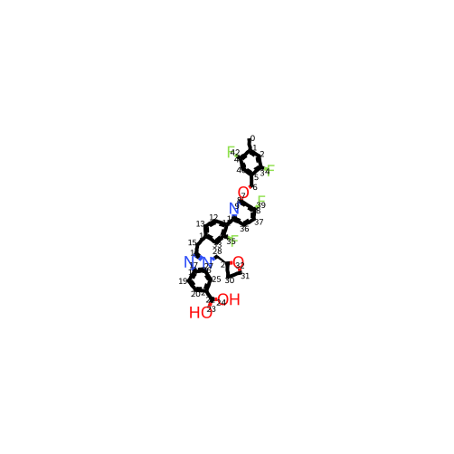 Cc1cc(F)c(COc2nc(-c3ccc(Cc4nc5ccc(C(O)O)cc5n4C[C@@H]4CCO4)cc3F)ccc2F)cc1F